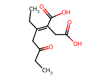 CCC(=O)CC(CC)=C(CC(=O)O)C(=O)O